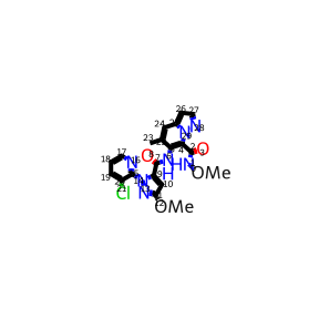 CONC(=O)c1c(NC(=O)c2cc(OC)nn2-c2ncccc2Cl)c(C)cc2ccnn12